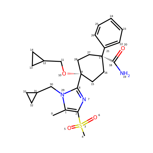 Cc1c(S(C)(=O)=O)nc([C@]2(OCC3CC3)CC[C@](C(N)=O)(c3ccccc3)CC2)n1CC1CC1